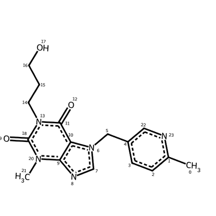 Cc1ccc(Cn2cnc3c2c(=O)n(CCCO)c(=O)n3C)cn1